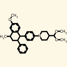 COc1ccc2c(c1)C(C)CC(c1ccccc1)C2c1ccc(N2CCC(C(OC)OC)CC2)cc1